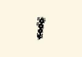 CC1C=NC(c2ccc(-c3ccc(C4=CC(F)C(C)C(F)=C4)c(F)c3)cc2)=NC1